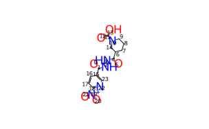 O=C(NNC(=O)C1CCCN(C(=O)O)C1)c1ccc([N+](=O)[O-])nc1